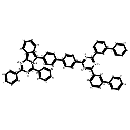 c1ccc(-c2cccc(-c3nc(-c4ccc(-c5ccc(-c6c7ccccc7c7nc(-c8ccccc8)nc(-c8ccccc8)n67)cc5)cc4)nc(-c4cccc(-c5ccccc5)c4)n3)c2)cc1